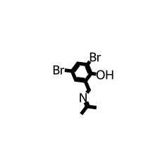 CC(C)=NCc1cc(Br)cc(Br)c1O